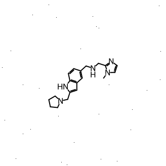 Cn1ccnc1CNCc1ccc2[nH]c(CN3CCCC3)cc2c1